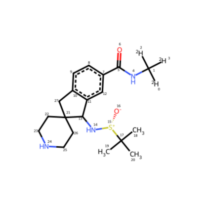 [2H]C([2H])([2H])NC(=O)c1ccc2c(c1)C(N[S@+]([O-])C(C)(C)C)C1(CCNCC1)C2